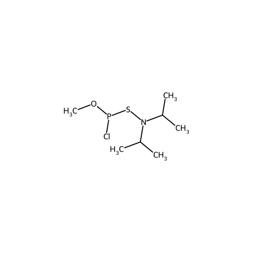 COP(Cl)SN(C(C)C)C(C)C